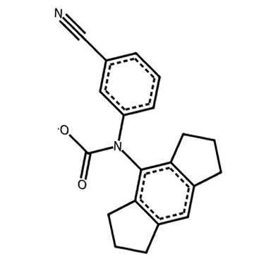 N#Cc1cccc(N(C([O])=O)c2c3c(cc4c2CCC4)CCC3)c1